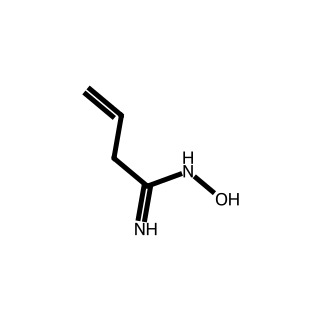 C=CCC(=N)NO